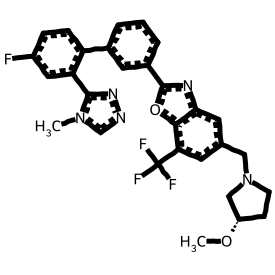 CO[C@H]1CCN(Cc2cc(C(F)(F)F)c3oc(-c4cccc(-c5ccc(F)cc5-c5nncn5C)c4)nc3c2)C1